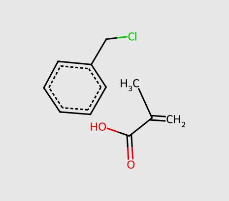 C=C(C)C(=O)O.ClCc1ccccc1